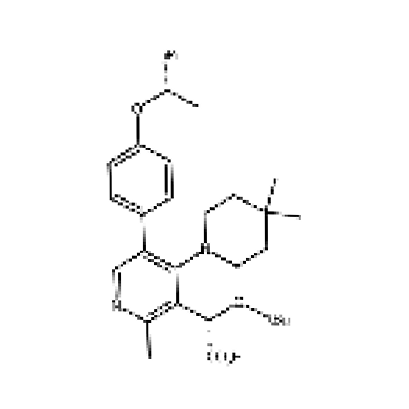 Cc1ncc(-c2ccc(O[C@@H](C)C(C)C)cc2)c(N2CCC(C)(C)CC2)c1[C@H](OC(C)(C)C)C(=O)O